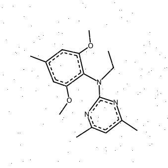 CCN(c1nc(C)cc(C)n1)c1c(OC)cc(C)cc1OC